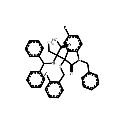 CCC(NC(c1ccccc1)c1ccccc1)(C(=O)O)C1(OCc2ccccc2C)C(=O)N(Cc2ccccc2)c2ccc(F)cc21